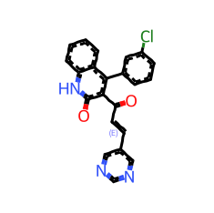 O=C(/C=C/c1cncnc1)c1c(-c2cccc(Cl)c2)c2ccccc2[nH]c1=O